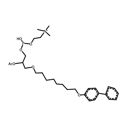 CC(=O)OC(COCCCCCCCCOc1ccc(-c2ccccc2)cc1)COP(O)OCC[N+](C)(C)C